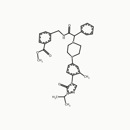 COC(=O)c1cccc(CNC(=O)C(c2ccccc2)N2CCN(c3ccc(-n4cnn(C(C)C)c4=O)c(C)c3)CC2)c1